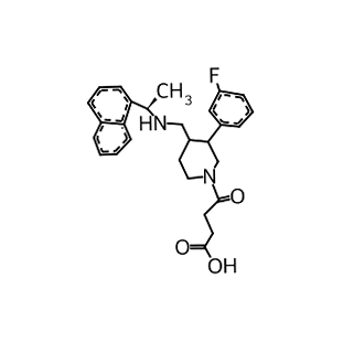 C[C@@H](NCC1CCN(C(=O)CCC(=O)O)CC1c1cccc(F)c1)c1cccc2ccccc12